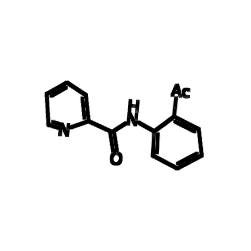 [CH2]C(=O)c1ccccc1NC(=O)c1ccccn1